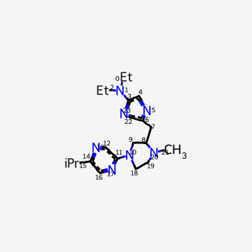 CCN(CC)c1cnc(CC2CN(c3cnc(C(C)C)cn3)CCN2C)cn1